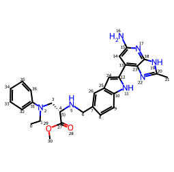 CCN(C[C@H](NCc1ccc2[nH]c(-c3cc(N)nc4[nH]c(C)nc34)cc2c1)C(=O)OC)c1ccccc1